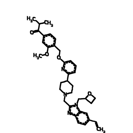 C=Cc1ccc2nc(CN3CCC(c4cccc(OCc5ccc(C(=O)C(C)C)cc5OC)n4)CC3)n(CC3CCO3)c2c1